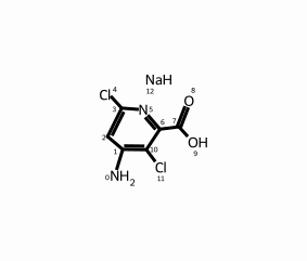 Nc1cc(Cl)nc(C(=O)O)c1Cl.[NaH]